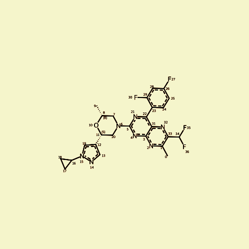 Cc1nc2nc(N3C[C@@H](C)O[C@@H](c4cnn(C5CC5)c4)C3)nc(-c3ccc(F)cc3F)c2nc1C(F)F